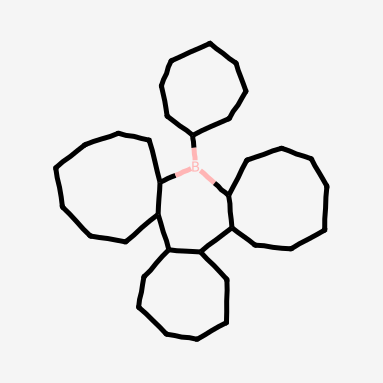 C1CCCC(B2C3CCCCCCCC3C3CCCCCCC3C3CCCCCCCC23)CCC1